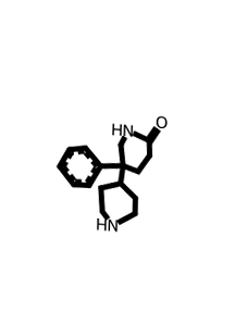 O=C1CCC(c2ccccc2)(C2CCNCC2)CN1